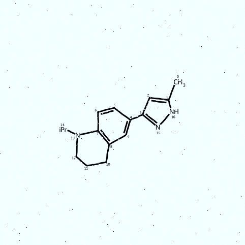 Cc1cc(-c2ccc3c(c2)CCCN3C(C)C)n[nH]1